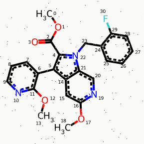 COC(=O)c1c(-c2cccnc2OC)c2cc(OC)ncc2n1Cc1ccccc1F